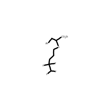 CCOC(=O)C(CC(C)C)SCCCC(F)(F)C(F)F